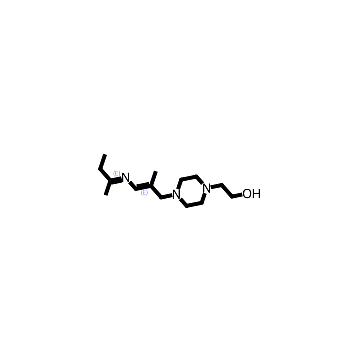 CC/C(C)=N/C=C(\C)CN1CCN(CCO)CC1